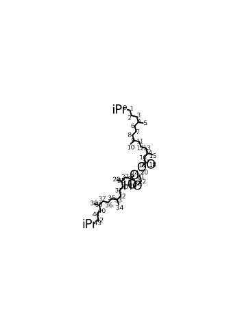 CC(C)CCCC(C)CCCC(C)CCCC(C)CC(=O)OC[C@H](CO)OC(=O)CC(C)CCCC(C)CCCC(C)CCCC(C)C